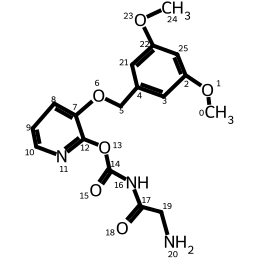 COc1cc(COc2cccnc2OC(=O)NC(=O)CN)cc(OC)c1